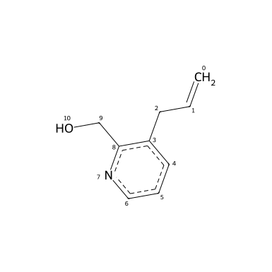 C=CCc1cccnc1CO